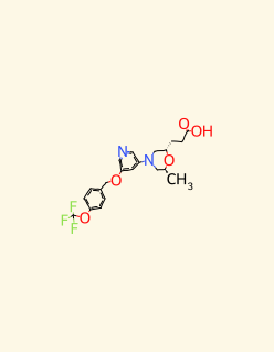 C[C@H]1CN(c2cncc(OCc3ccc(OC(F)(F)F)cc3)c2)C[C@H](CCC(=O)O)O1